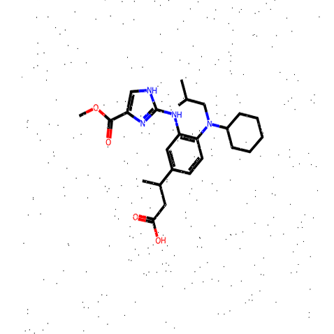 COC(=O)c1c[nH]c(Nc2cc(C(C)CC(=O)O)ccc2N(CC(C)C)C2CCCCC2)n1